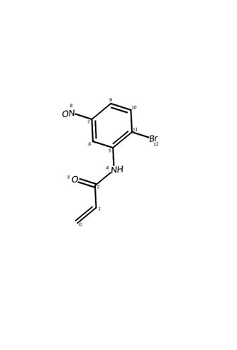 C=CC(=O)Nc1cc(N=O)ccc1Br